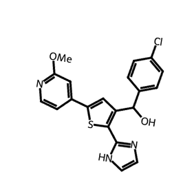 COc1cc(-c2cc(C(O)c3ccc(Cl)cc3)c(-c3ncc[nH]3)s2)ccn1